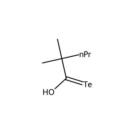 CCCC(C)(C)C(O)=[Te]